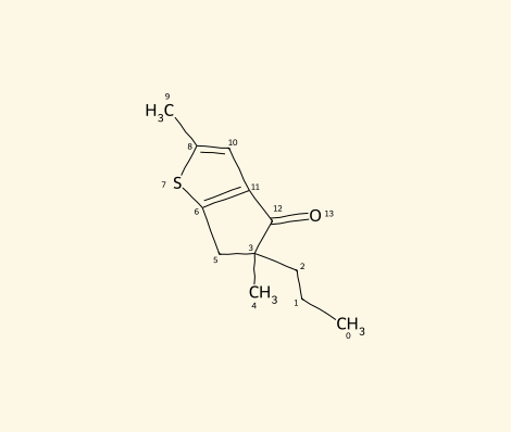 CCCC1(C)Cc2sc(C)cc2C1=O